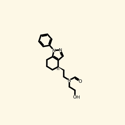 O=CN(CCO)CC[C@H]1CCCc2c1cnn2-c1ccccc1